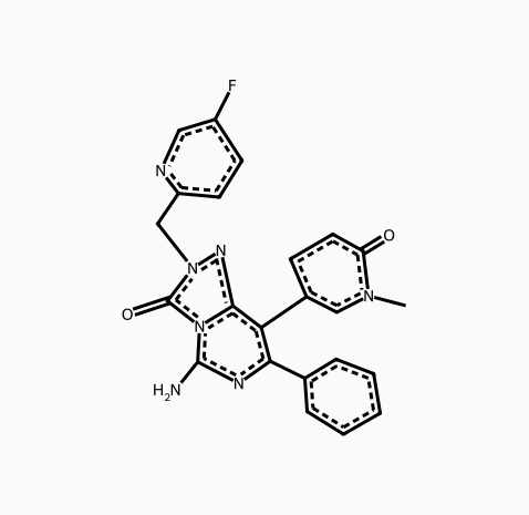 Cn1cc(-c2c(-c3ccccc3)nc(N)n3c(=O)n(Cc4ccc(F)cn4)nc23)ccc1=O